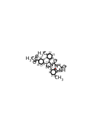 Cc1ccc(C2=NC(c3ccc(S(C)(=O)=O)cc3)C(c3cccc(C)c3)N2C(=O)N2CCNC(=O)C2)cc1